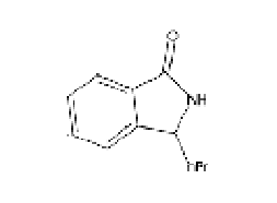 CCCC1NC(=O)c2cc[c]cc21